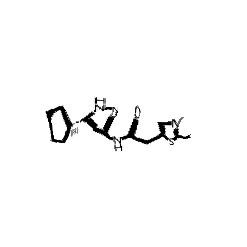 Cc1ncc(CC(=O)Nc2cc([C@@H]3C[CH]CC3)[nH]n2)s1